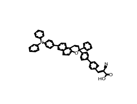 N#C/C(=C\c1ccc(-c2ccc(C3(c4ccccc4)C=Cc4c(ccc5cc(-c6ccc(N(c7ccccc7)c7ccccc7)cc6)ccc45)O3)cc2)cc1)C(=O)O